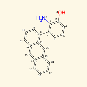 Nc1c(O)cccc1-c1cccc2cc3ccccc3cc12